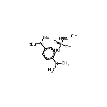 CN(C)c1cc[c]([Pd]([C](C)(C)C)[C](C)(C)C)cc1.Cl.Cl.O=P(O)(O)O